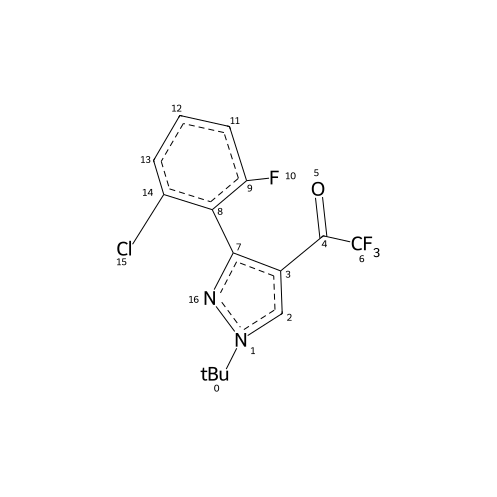 CC(C)(C)n1cc(C(=O)C(F)(F)F)c(-c2c(F)cccc2Cl)n1